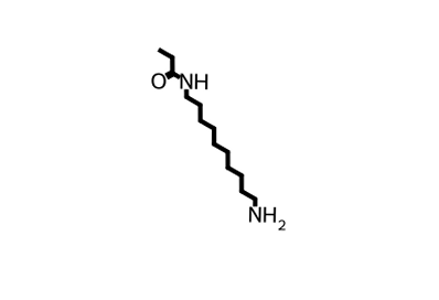 CCC(=O)NCCCCCCCCCCN